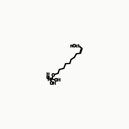 CCCCCCCC/C=C\CCCCCCCCO[PH](O)(O)O